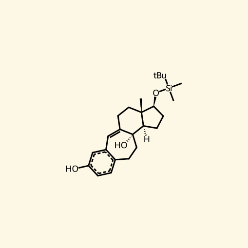 CC(C)(C)[Si](C)(C)O[C@H]1CC[C@@H]2[C@]1(C)CCC1=Cc3cc(O)ccc3CC[C@@]12O